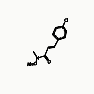 CON(C)C(=O)C=Cc1ccc(Cl)cc1